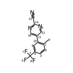 Cc1ccc(C(F)(F)F)cc1-c1cnc(C#N)nc1